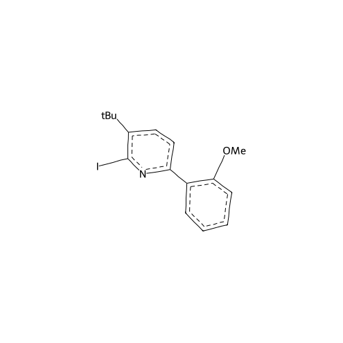 COc1ccccc1-c1ccc(C(C)(C)C)c(I)n1